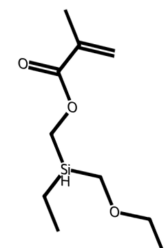 C=C(C)C(=O)OC[SiH](CC)COCC